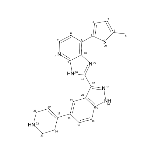 Cc1ccc(-c2ccnc3[nH]c(-c4n[nH]c5ccc(C6=CCNCC6)cc45)nc23)s1